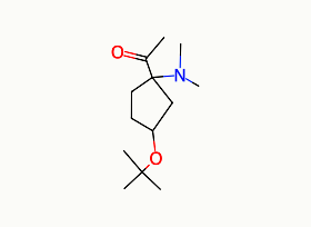 CC(=O)C1(N(C)C)CCC(OC(C)(C)C)C1